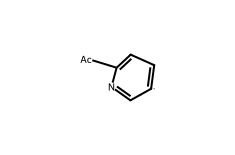 CC(=O)c1cc[c]cn1